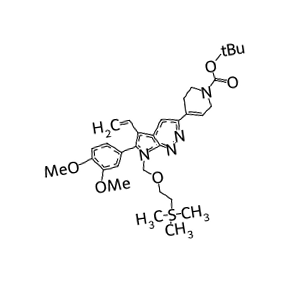 C=Cc1c(-c2ccc(OC)c(OC)c2)n(COCCS(C)(C)C)c2nnc(C3=CCN(C(=O)OC(C)(C)C)CC3)cc12